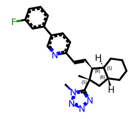 Cn1nnnc1[C@@]1(C)C[C@H]2CCCC[C@@H]2[C@@H]1C=Cc1ccc(-c2cccc(F)c2)cn1